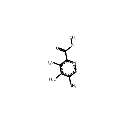 COC(=O)c1nnc(N)c(C)c1C